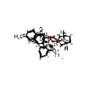 COc1ccccc1S(=O)(=O)N(CC(=O)N1[C@@H]2CC[C@H]1C[C@@H]([C@H](N)Cc1cc(F)c(F)cc1F)C2)OS(=O)(=O)c1ccc(C)cc1